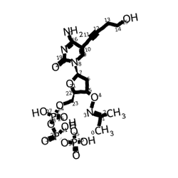 CC(C)=NOC1C[C@H](n2cc(C#CCCO)c(N)nc2=O)O[C@@H]1COP(=O)(O)OP(=O)(O)OP(=O)(O)O